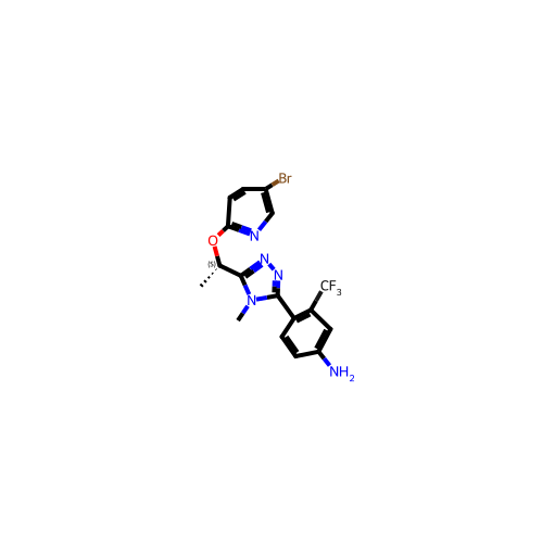 C[C@H](Oc1ccc(Br)cn1)c1nnc(-c2ccc(N)cc2C(F)(F)F)n1C